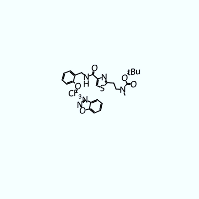 CN(CCc1nc(C(=O)NCc2ccccc2OC(F)(F)F)cs1)C(=O)OC(C)(C)C.c1ccc2onnc2c1